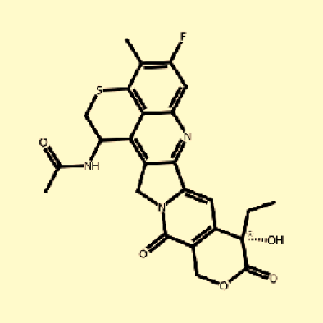 CC[C@@]1(O)C(=O)OCc2c1cc1n(c2=O)Cc2c-1nc1cc(F)c(C)c3c1c2C(NC(C)=O)CS3